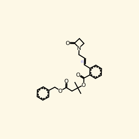 CC(C)(CC(=O)OCc1ccccc1)OC(=O)c1ccccc1/C=C/CN1CCC1=O